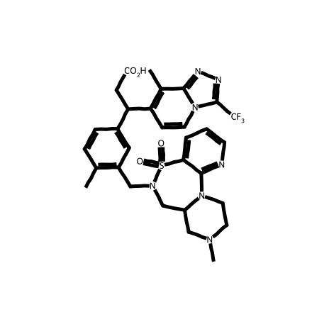 Cc1ccc(C(CC(=O)O)c2ccn3c(C(F)(F)F)nnc3c2C)cc1CN1CC2CN(C)CCN2c2ncccc2S1(=O)=O